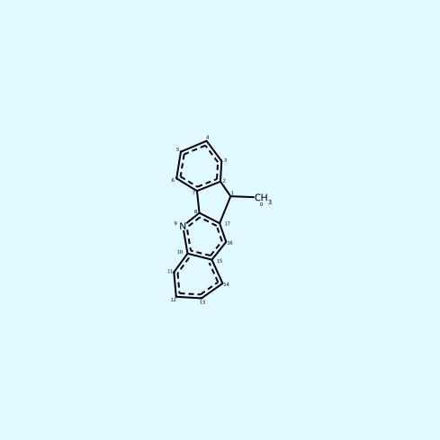 CC1c2ccccc2-c2nc3ccccc3cc21